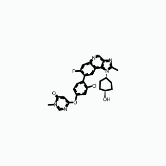 Cc1nc2cnc3cc(F)c(-c4ccc(Oc5cc(=O)n(C)cn5)cc4Cl)cc3c2n1[C@H]1CC[C@H](O)CC1